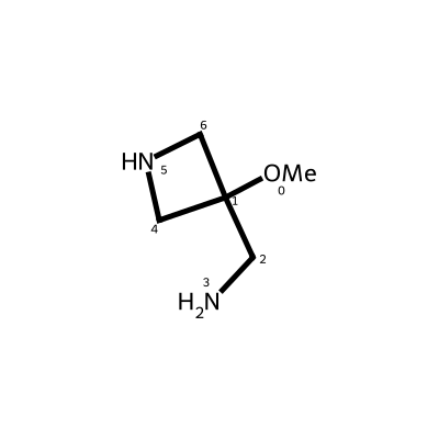 COC1(CN)CNC1